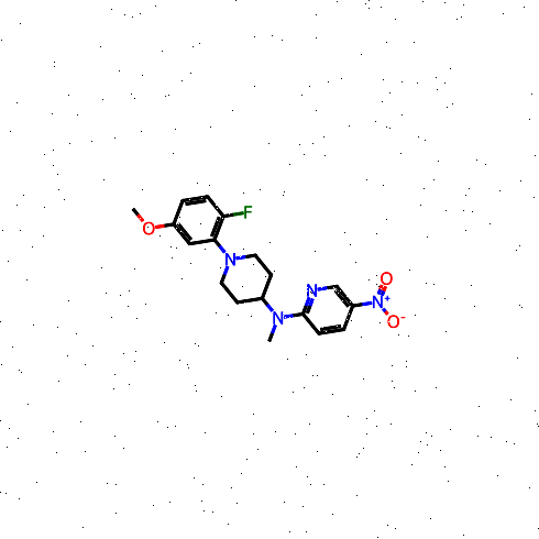 COc1ccc(F)c(N2CCC(N(C)c3ccc([N+](=O)[O-])cn3)CC2)c1